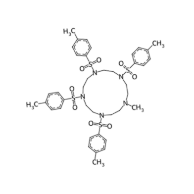 Cc1ccc(S(=O)(=O)N2CCN(C)CCN(S(=O)(=O)c3ccc(C)cc3)CCN(S(=O)(=O)c3ccc(C)cc3)CCN(S(=O)(=O)c3ccc(C)cc3)CC2)cc1